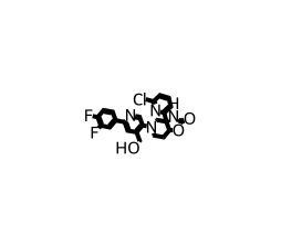 O=C1NC2(c3cccc(Cl)n3)CN(c3cnc(-c4ccc(F)c(F)c4)cc3CO)CCC2O1